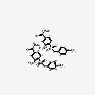 COC(=O)c1ccc(S(=O)(=O)Cc2ccc(C(F)(F)F)cc2)c(N)c1.COC(=O)c1ccc(S(=O)(=O)Cc2ccc(C(F)(F)F)cc2)c([N+](=O)[O-])c1